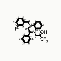 OC(CN1c2ccccc2N(Cc2cccc(F)c2)CC1c1ccccc1)C(F)(F)F